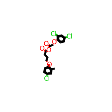 Cc1cc(Cl)ccc1OCCCC(=O)OC(=O)COc1ccc(Cl)cc1Cl